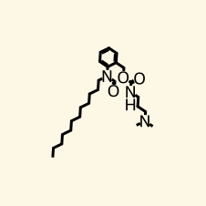 CCCCCCCCCCCCN(C=O)c1ccccc1COC(=O)NCCCN(C)C